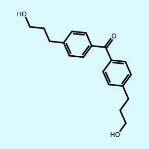 O=C(c1ccc(CCCO)cc1)c1ccc(CCCO)cc1